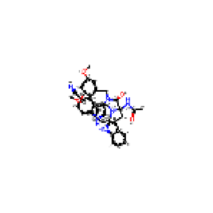 COc1cc(CN(C(=O)C(Cc2c[nH]c3ccccc23)(NC(C)=O)N2CC=CCC2)c2c[nH]c3ccc(C#N)cc23)cc(OC)c1